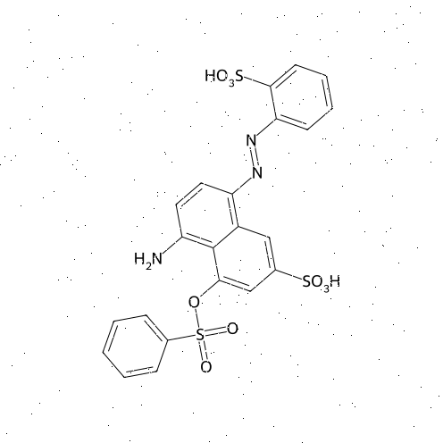 Nc1ccc(N=Nc2ccccc2S(=O)(=O)O)c2cc(S(=O)(=O)O)cc(OS(=O)(=O)c3ccccc3)c12